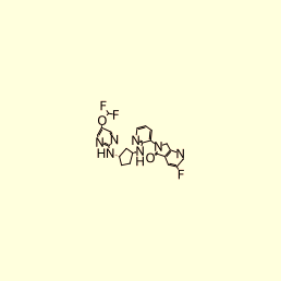 O=C1c2cc(F)cnc2CN1c1cccnc1N[C@H]1CC[C@H](Nc2ncc(OC(F)F)cn2)C1